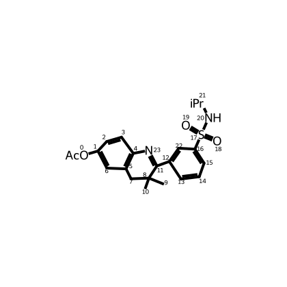 CC(=O)Oc1ccc2c(c1)CC(C)(C)C(c1cccc(S(=O)(=O)NC(C)C)c1)=N2